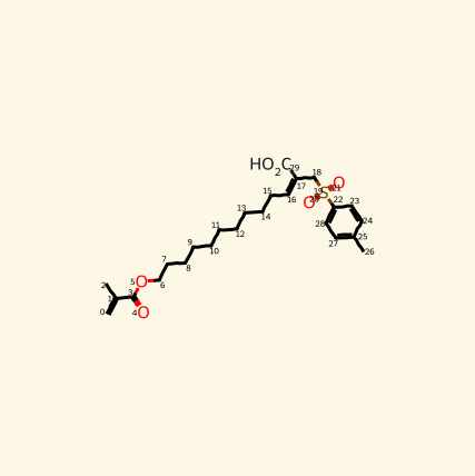 C=C(C)C(=O)OCCCCCCCCCCC=C(CS(=O)(=O)c1ccc(C)cc1)C(=O)O